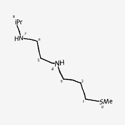 CSCCCNCCNC(C)C